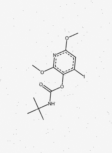 COc1cc(I)c(OC(=O)NC(C)(C)C)c(OC)n1